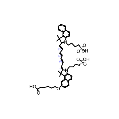 CC1(C)C(/C=C/C=C/C=C/C=C2\N(CCCCS(=O)(=O)O)c3ccc4ccc(OCCCCCC(=O)O)cc4c3C2(C)C)=[N+](CCCCS(=O)(=O)O)c2ccc3ccccc3c21